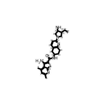 Cc1cc(C)c2c(N)c(C(=O)NC3CCc4nc(N5CC(N)C(CF)C5)ccc4C3)sc2n1